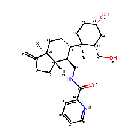 C=C1CC[C@H]2[C@H](CNC(=O)c3ccccn3)[C@@H]([C@@]3(C)CC[C@H](O)C[C@@H]3CO)CC[C@]12C